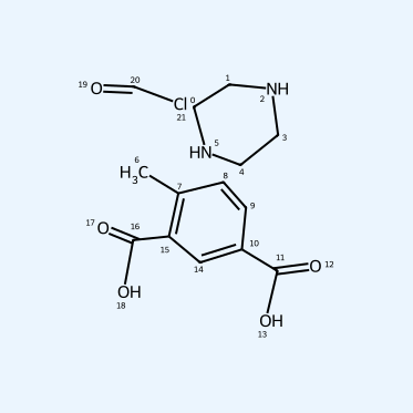 C1CNCCN1.Cc1ccc(C(=O)O)cc1C(=O)O.O=CCl